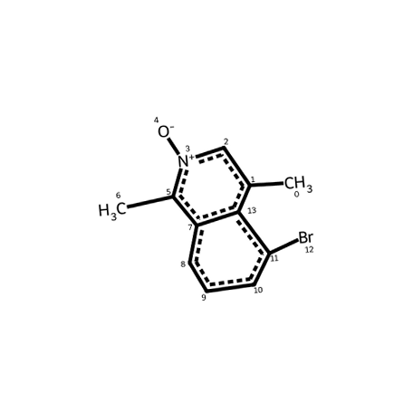 Cc1c[n+]([O-])c(C)c2cccc(Br)c12